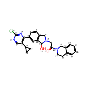 O=C(CN1Cc2ccc(-c3nc(Cl)ncc3C3CC3)cc2C1O)N1CCc2ccccc2C1